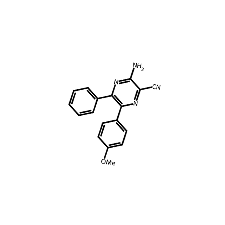 COc1ccc(-c2nc(C#N)c(N)nc2-c2ccccc2)cc1